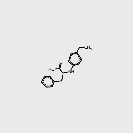 CCc1ccc(N[C@@H](Cc2ccccc2)C(=O)O)cc1